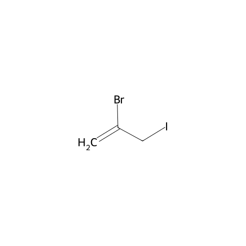 C=C(Br)CI